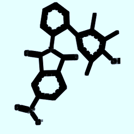 Cc1cc(-c2ccccc2N2C(=O)c3ccc([N+](=O)[O-])cc3C2=O)c(C)c(C)c1O